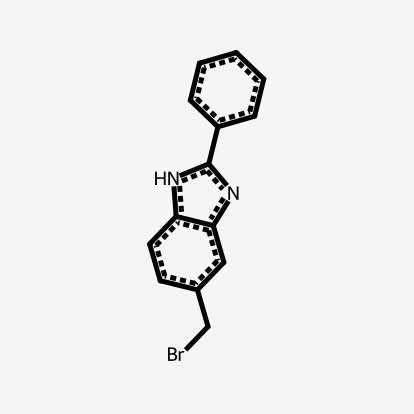 BrCc1ccc2[nH]c(-c3ccccc3)nc2c1